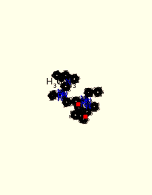 CC1(C)c2ccccc2-c2ccc3c4ccccc4n(-c4ccc(-c5nc(-c6ccccc6)nc(-c6cccc(-c7ccc(-c8nc(-c9cccc(-c%10ccccc%10)c9)nc(-n9c%10ccccc%10c%10ccc%11c(c%109)-c9ccccc9C%119c%10ccccc%10-c%10ccccc%109)n8)cc7)c6)n5)cc4)c3c21